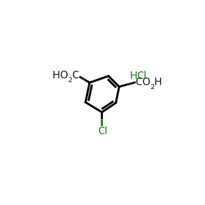 Cl.O=C(O)c1cc(Cl)cc(C(=O)O)c1